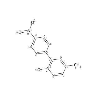 Cc1cc[n+]([O-])c(-c2ccc([N+](=O)[O-])cc2)c1